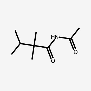 CC(=O)NC(=O)C(C)(C)C(C)C